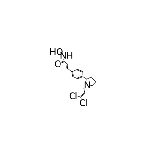 O=C(/C=C/c1ccc(C2CCCN2CC=C(Cl)Cl)cc1)NO